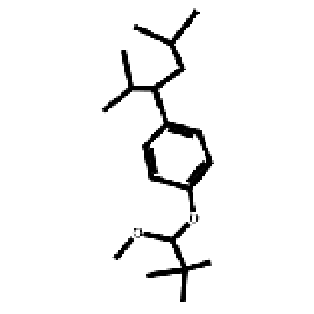 COC(Oc1ccc(C(CC(C)C)C(C)C)cc1)C(C)(C)C